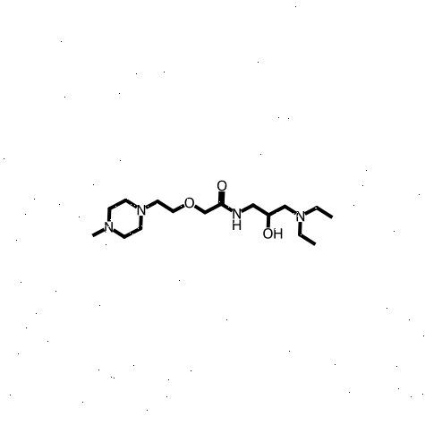 CCN(CC)CC(O)CNC(=O)COCCN1CCN(C)CC1